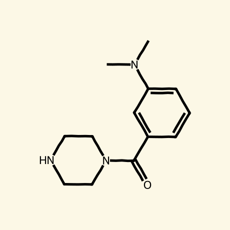 CN(C)c1cccc(C(=O)N2CCNCC2)c1